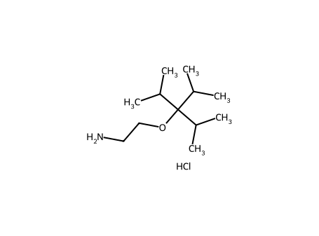 CC(C)C(OCCN)(C(C)C)C(C)C.Cl